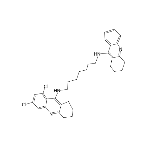 Clc1cc(Cl)c2c(NCCCCCCCNc3c4c(nc5ccccc35)CCCC4)c3c(nc2c1)CCCC3